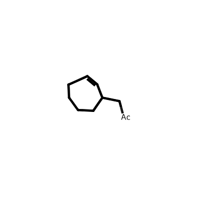 CC(=O)CC1C=CCCCC1